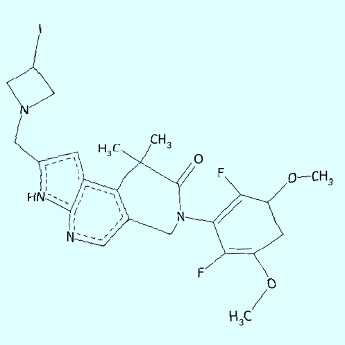 COC1=C(F)C(N2Cc3cnc4[nH]c(CN5CC(I)C5)cc4c3C(C)(C)C2=O)=C(F)C(OC)C1